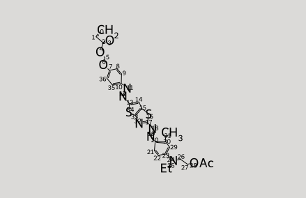 C=CC(=O)OCOc1ccc(N=Nc2cc3sc(N=Nc4ccc(N(CC)CCOC(C)=O)cc4C)nc3s2)cc1